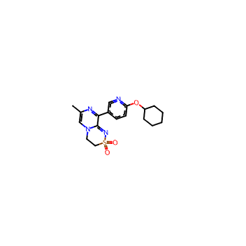 CC1=CN2CCS(=O)(=O)N=C2C(c2ccc(OC3CCCCC3)nc2)=N1